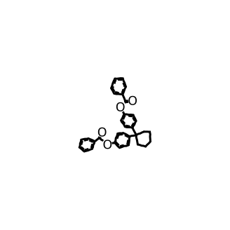 O=C(Oc1ccc(C2(c3ccc(OC(=O)c4ccccc4)cc3)CCCCC2)cc1)c1ccccc1